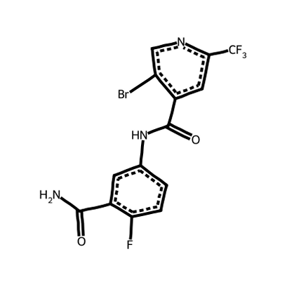 NC(=O)c1cc(NC(=O)c2cc(C(F)(F)F)ncc2Br)ccc1F